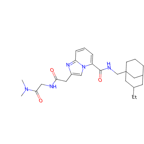 CCC1CC2CCCC(CNC(=O)c3cccc4nc(CC(=O)NCC(=O)N(C)C)cn34)(C1)C2